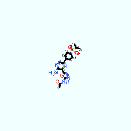 CC(=O)Nc1nnc(-c2nc(-c3ccc(S(=O)(=O)C(C)C)cc3)cnc2N)o1